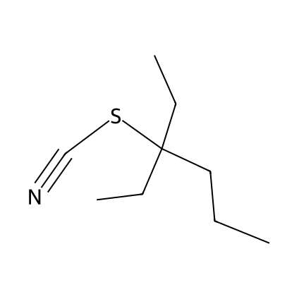 CCCC(CC)(CC)SC#N